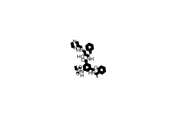 CCS(=O)(=O)Nc1cc(C(=O)N[C@@H](Cc2ccccc2)[C@H](O)CNCc2cnccn2)cc(C(=O)N[C@H](C)c2ccccc2)c1